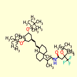 CC(CNC(=O)CC(C)(O[Si](C)(C)C)C(F)(F)F)[C@H]1CCC[C@H]2C(=CC=C3C[C@@H](O[Si](C)(C)C(C)(C)C)C[C@H](O[Si](C)(C)C(C)(C)C)C3)CCC[C@]12C